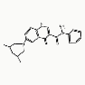 C=C1C(C(=O)N(N)c2ccccc2)=CNc2ccc(N3CC(C)CC(C)C3)cc21